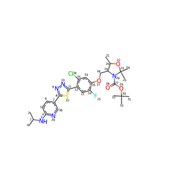 CC(C)Nc1ccc(-c2nnc(-c3cc(F)c(OCC4C(C)OC(C)(C)N4C(=O)OC(C)(C)C)cc3Cl)s2)cn1